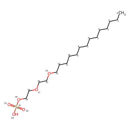 CCCCCCCCCCCCCCOCCOCCOS(=O)(=O)O